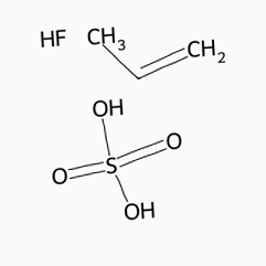 C=CC.F.O=S(=O)(O)O